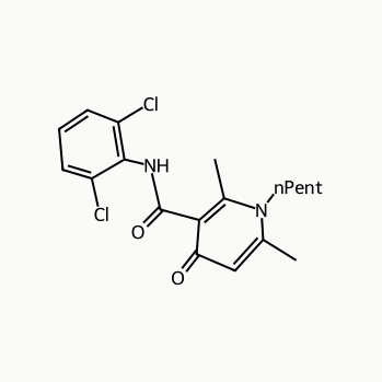 CCCCCn1c(C)cc(=O)c(C(=O)Nc2c(Cl)cccc2Cl)c1C